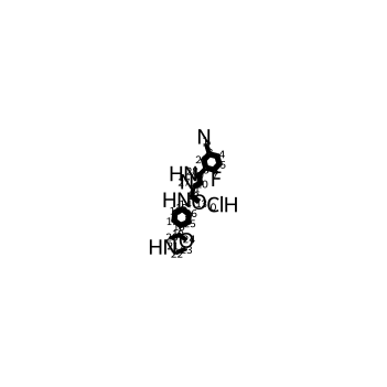 Cl.N#Cc1ccc(F)c(-c2cc(C(=O)Nc3ccc([C@H]4CNCCO4)cc3)n[nH]2)c1